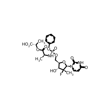 C[C@H](N[P@](=O)(OC[C@H]1O[C@@H](n2ccc(=O)[nH]c2=O)[C@](C)(F)[C@@H]1O)Oc1ccccc1)C(=O)O[C@@H](C)C(=O)O